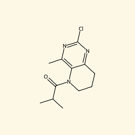 Cc1nc(Cl)nc2c1N(C(=O)C(C)C)CCC2